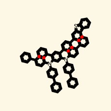 c1ccc(-c2ccc(N(c3ccc(-c4ccccc4)cc3)c3cc(N(c4ccc(-c5ccccc5)cc4)c4ccc(-c5ccccc5)cc4)c(-c4ccc(-c5ccc6c(c5)sc5ccccc56)cc4)cc3-c3ccccc3)cc2)cc1